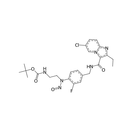 CCc1nc2ccc(Cl)cn2c1C(=O)NCc1ccc(N(CCNC(=O)OC(C)(C)C)N=O)c(F)c1